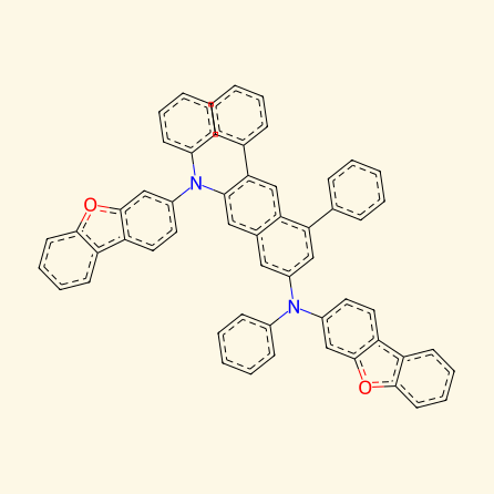 c1ccc(-c2cc3c(-c4ccccc4)cc(N(c4ccccc4)c4ccc5c(c4)oc4ccccc45)cc3cc2N(c2ccccc2)c2ccc3c(c2)oc2ccccc23)cc1